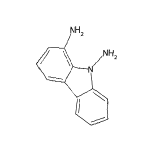 Nc1cccc2c3ccccc3n(N)c12